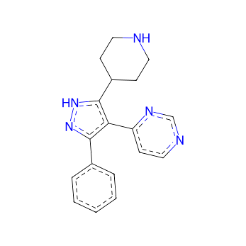 c1ccc(-c2n[nH]c(C3CCNCC3)c2-c2ccncn2)cc1